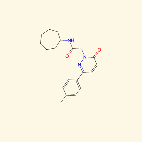 Cc1ccc(-c2ccc(=O)n(CC(=O)NC3CCCCCC3)n2)cc1